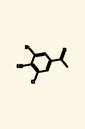 CC(=O)c1cc(Cl)c(O)c(Br)c1